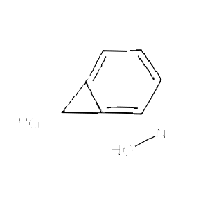 Cl.NO.c1ccc2c(c1)C2